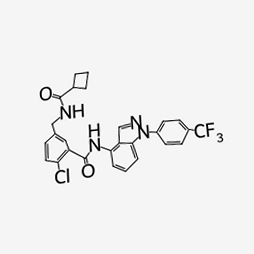 O=C(Nc1cccc2c1cnn2-c1ccc(C(F)(F)F)cc1)c1cc(CNC(=O)C2CCC2)ccc1Cl